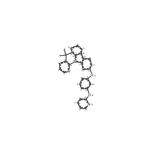 CC1(C)c2cccnc2-n2c3cc(Oc4cccc(Oc5ccccn5)c4)ccc3c3cccc1c32